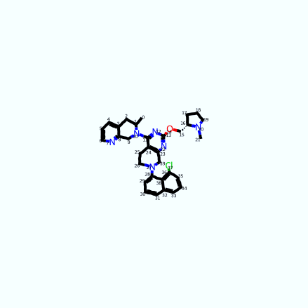 CC1Cc2cccnc2CN1c1nc(OC[C@@H]2CCCN2C)nc2c1CCN(c1cccc3cccc(Cl)c13)C2